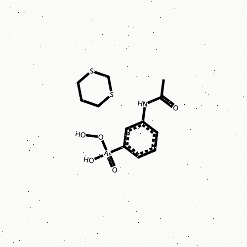 C1CSCSC1.CC(=O)Nc1cccc([As](=O)(O)OO)c1